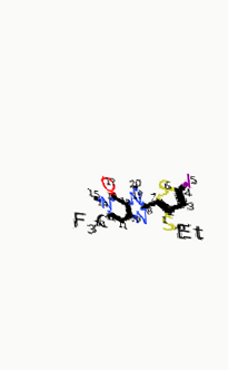 CCSc1cc(I)sc1-c1nc2cc(C(F)(F)F)n(C)c(=O)c2n1C